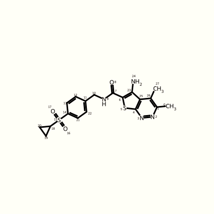 Cc1nnc2sc(C(=O)NCc3ccc(S(=O)(=O)C4CC4)cc3)c(N)c2c1C